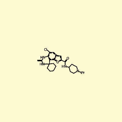 C=C1Nc2c(Cl)cc3cc(C(=O)NC4CCN(C(C)C)CC4)oc3c2C2(CCCCC2)N1